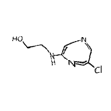 OCCNc1cncc(Cl)n1